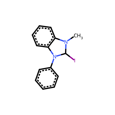 CN1c2ccccc2N(c2ccccc2)C1I